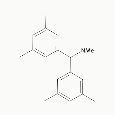 CNC(c1cc(C)cc(C)c1)c1cc(C)cc(C)c1